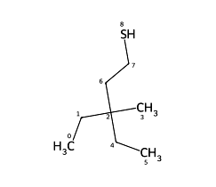 CCC(C)(CC)CCS